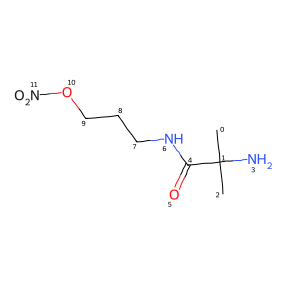 CC(C)(N)C(=O)NCCCO[N+](=O)[O-]